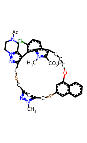 CC(=O)N1CCn2nc3c(c2C1)-c1c(Cl)ccc2c(c(C(=O)O)n(C)c12)CCCOc1cc(cc2ccccc12)SCc1cc(nn1C)CSC3